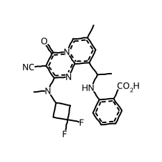 Cc1cc(C(C)Nc2ccccc2C(=O)O)c2nc(N(C)C3CC(F)(F)C3)c(C#N)c(=O)n2c1